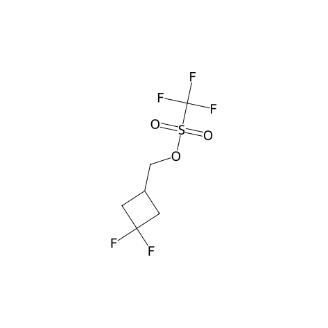 O=S(=O)(OCC1CC(F)(F)C1)C(F)(F)F